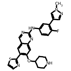 Cn1cc(-c2cc(Nc3ncc4cc(-c5nccs5)c(OC5CCNCC5)cc4n3)ccc2F)cn1